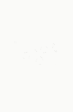 CCOc1cc(OC(C)C)c(F)c(C(Nc2ccc(C(=N)N)cc2)c2cccc(CC)n2)c1